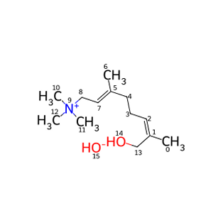 CC(=CCCC(C)=CC[N+](C)(C)C)CO.[OH-]